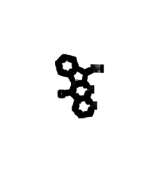 N=C1c2ccccc2-n2c1nc1ncccc1c2=O